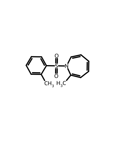 CC1=CC=CC=CN1S(=O)(=O)c1ccccc1C